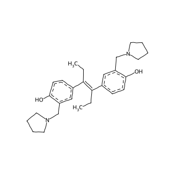 CC/C(=C(/CC)c1ccc(O)c(CN2CCCC2)c1)c1ccc(O)c(CN2CCCC2)c1